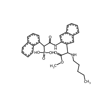 CCCCCNC(C(=O)OC)c1cc2ccccc2cc1NC(=O)C(c1cccc2ccccc12)P(=O)(O)O